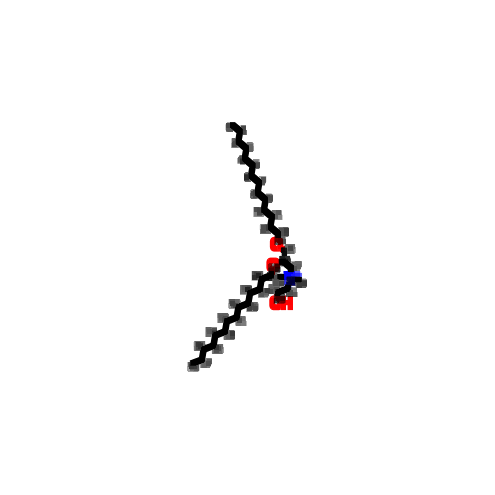 CCCCCCCCCCCCCCOC[C@H](C[N+](C)(C)CCO)OCCCCCCCCCCCCCC